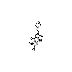 [2H]N1C(C2CC2)C=C2NC3=C(CN(CCN4CCOCC4)C3=O)C(=O)N21